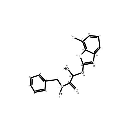 CCN(Cc1ccccc1)C(=O)C(O)Oc1nc2cccc(Cl)c2o1